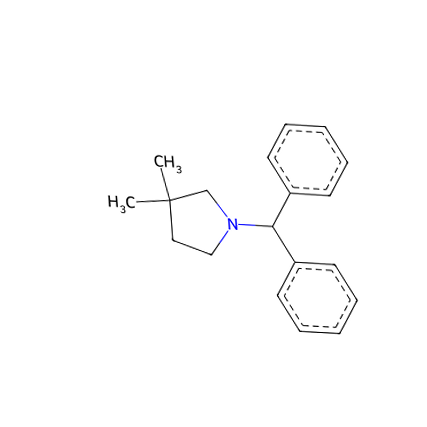 CC1(C)CCN(C(c2ccccc2)c2ccccc2)C1